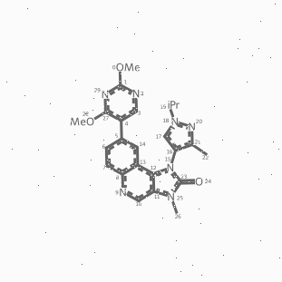 COc1ncc(-c2ccc3ncc4c(c3c2)n(-c2cn(C(C)C)nc2C)c(=O)n4C)c(OC)n1